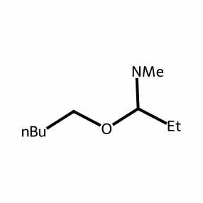 CCCCCOC(CC)NC